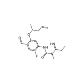 C=CCC(C)Oc1cc(NC(=O)N(C)C(=N)CC)c(F)cc1C=O